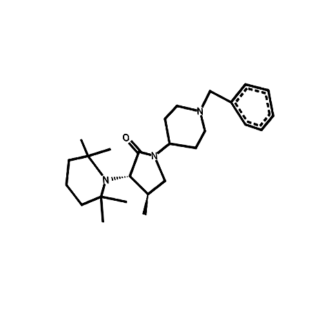 C[C@@H]1CN(C2CCN(Cc3ccccc3)CC2)C(=O)[C@H]1N1C(C)(C)CCCC1(C)C